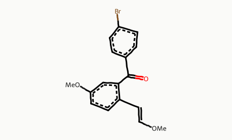 CO/C=C/c1ccc(OC)cc1C(=O)c1ccc(Br)cc1